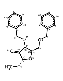 CO[C@H]1O[C@H](COCc2ccccc2)[C@@H](OCc2ccccc2)C1=O